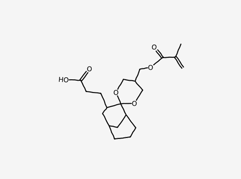 C=C(C)C(=O)OCC1COC2(OC1)C1CCCC(C1)CC2CCC(=O)O